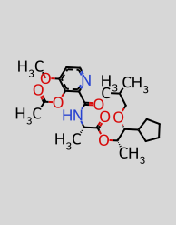 COc1ccnc(C(=O)N[C@@H](C)C(=O)O[C@@H](C)[C@H](OCC(C)C)C2CCCC2)c1OC(C)=O